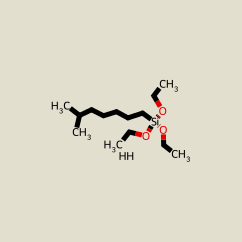 CCO[Si](CCCCCC(C)C)(OCC)OCC.[HH]